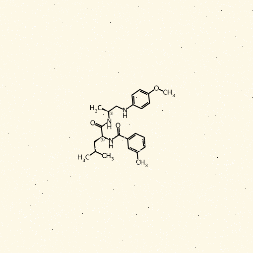 COc1ccc(NC[C@H](C)NC(=O)[C@H](CC(C)C)NC(=O)c2cccc(C)c2)cc1